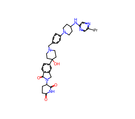 CC(C)c1cnc(NC2CCN(c3ccc(CN4CCC(O)(c5ccc6c(c5)CN(C5CCC(=O)NC5=O)C6=O)CC4)cc3)CC2)cn1